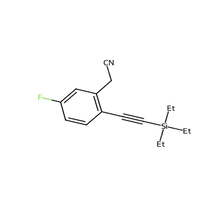 CC[Si](C#Cc1ccc(F)cc1CC#N)(CC)CC